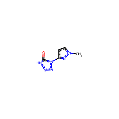 Cn1ccc(-n2nn[nH]c2=O)n1